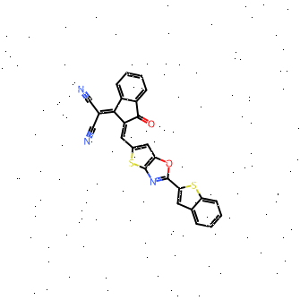 N#CC(C#N)=C1/C(=C/c2cc3oc(-c4cc5ccccc5s4)nc3s2)C(=O)c2ccccc21